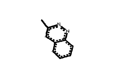 Cc1[c]c2[c]cccc2nn1